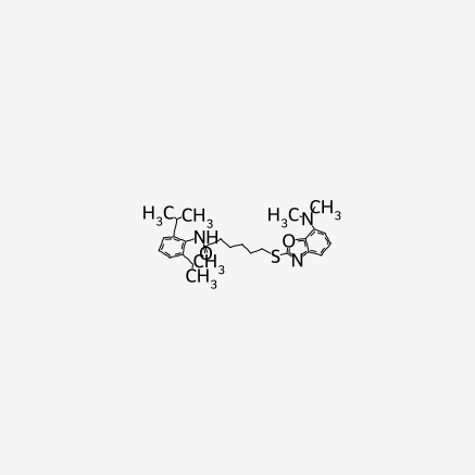 CC(C)c1cccc(C(C)C)c1NC(=O)CCCCCSc1nc2cccc(N(C)C)c2o1